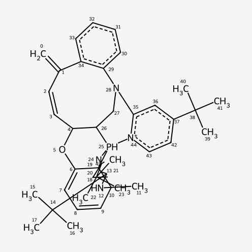 C=C1/C=C\C2OC3=CC=CC4(C)N/C(C(C)(C)C)=C\C(C(C)(C)C)=N\[PH]5(C2CN(c2ccccc21)c1cc(C(C)(C)C)cc[n+]15)C34